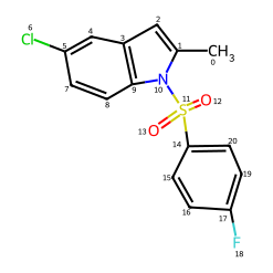 Cc1cc2cc(Cl)ccc2n1S(=O)(=O)c1ccc(F)cc1